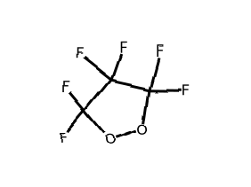 FC1(F)OOC(F)(F)C1(F)F